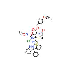 CON=CC(=O)NC1(c2csc(NC(c3ccccc3)(c3ccccc3)c3ccccc3)n2)S[C@H]2CC(=O)N2C(C(=O)OCc2ccc(OC)cc2)=C1/C=C\CCl